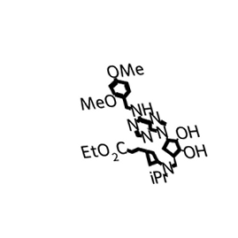 CCOC(=O)CCC1CC(N(C[C@H]2C[C@@H](n3cnc4c(NCc5ccc(OC)cc5OC)ncnc43)[C@H](O)[C@@H]2O)C(C)C)C1